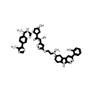 Cc1ncsc1-c1ccc([C@H](C)NC(=O)[C@@H]2C[C@@H](O)CC2C(=O)[C@@H](c2cc(OCCN(C)[C@@H]3CCc4[nH]c5nnc(-c6ccccc6O)cc5c4C3)no2)C(C)C)cc1